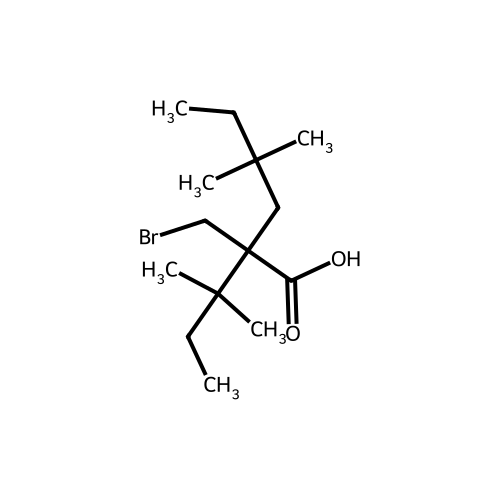 CCC(C)(C)CC(CBr)(C(=O)O)C(C)(C)CC